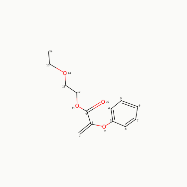 C=C(Oc1ccccc1)C(=O)OCCOCC